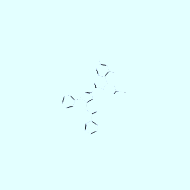 O=C(O)C[C@H](NC(=O)c1cc(NC(=O)c2ccccc2)n(-c2ccccc2)n1)c1ccc(Cl)cc1Cl